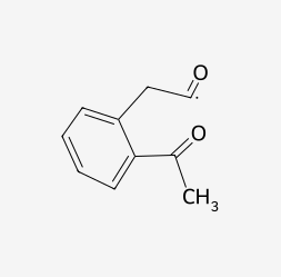 CC(=O)c1ccccc1C[C]=O